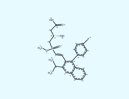 COP(=O)(C=Cc1c(C(C)C)nc2ccccc2c1-c1ccc(F)cc1)C[C@@H](O)CC(=O)O